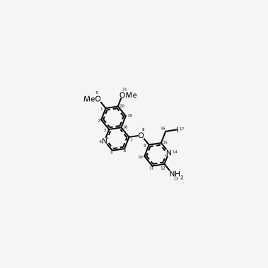 COc1cc2nccc(Oc3ccc(N)nc3CI)c2cc1OC